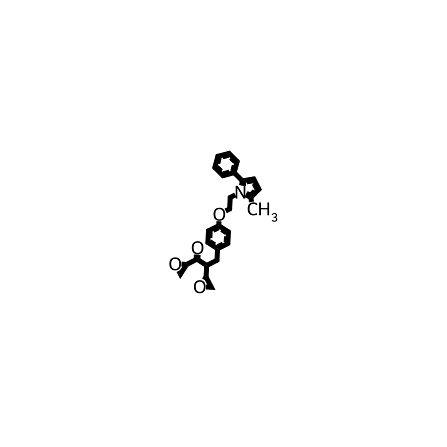 Cc1ccc(-c2ccccc2)n1CCOc1ccc(CC(C(=O)C2CO2)C2CO2)cc1